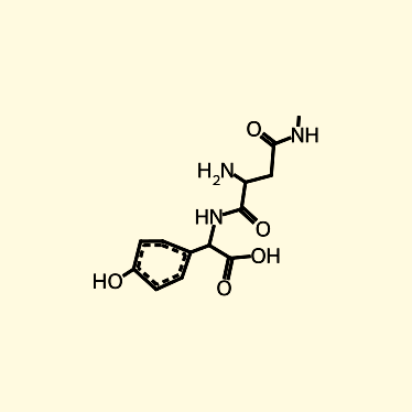 CNC(=O)CC(N)C(=O)NC(C(=O)O)c1ccc(O)cc1